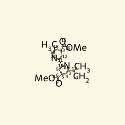 C=C(C)c1cc(C(=O)OC)cc(-c2cc(C(=O)OC)c(C)cn2)n1